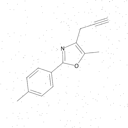 C#CCc1nc(-c2ccc(C)cc2)oc1C